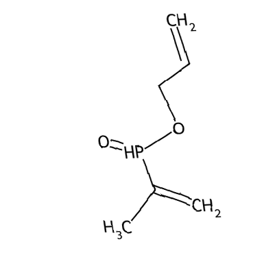 C=CCO[PH](=O)C(=C)C